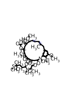 COc1cc2cc(c1Cl)N(C)C(=O)C[C@H](OC(=O)[C@@H](C)N(C)C(=O)CCC(C)(C)SC)[C@]1(C)O[C@H]1[C@H](C)[C@@H]1C[C@@](O)(NC(=O)O1)[C@H](OC)/C=C/C=C(\C)C2